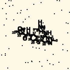 Cc1cn2c(Nc3cc(C)[nH]n3)nc(Sc3ccc(NC(=O)c4cc(C)on4)cc3)cc2n1